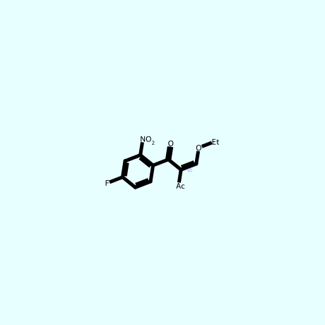 CCO/C=C(/C(C)=O)C(=O)c1ccc(F)cc1[N+](=O)[O-]